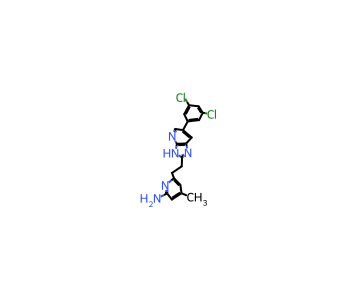 Cc1cc(N)nc(CCc2nc3cc(-c4cc(Cl)cc(Cl)c4)cnc3[nH]2)c1